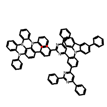 c1ccc(-c2ccc3c(c2)c2ccccc2n3-c2ccc(-c3cc(-c4ccccc4)nc(-c4ccccc4)n3)cc2-c2cc(-c3ccccc3)nc(-c3ccc(-c4ccc5c6c4N(c4ccccc4)c4ccccc4B6c4ccccc4N5c4ccccc4)cc3)n2)cc1